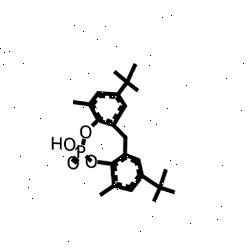 Cc1cc(C(C)(C)C)cc2c1OP(=O)(O)Oc1c(C)cc(C(C)(C)C)cc1C2